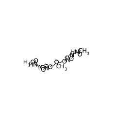 CC(=O)NCCN1COc2nc(OCCc3cccc(CCOc4ccc5c(n4)OCN(CCNC(C)=O)C5)c3C)ccc2C1